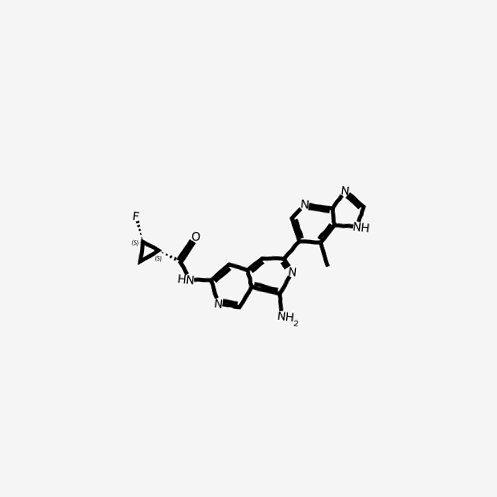 Cc1c(-c2cc3cc(NC(=O)[C@@H]4C[C@@H]4F)ncc3c(N)n2)cnc2nc[nH]c12